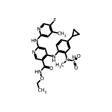 CCONC(=O)c1cnc(Nc2cc(C)c(F)cn2)cc1Nc1ccc(C2CC2)cc1N(C)[SH](=O)=O